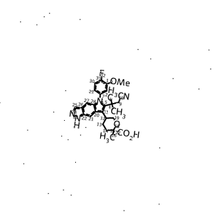 COc1cc(-n2c(C(C)(C)CC#N)c(C3CC[C@@](C)(C(=O)O)OC3)c3cc4[nH]ncc4cc32)ccc1F